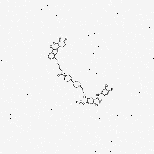 COc1cc2ncnc(Nc3ccc(F)c(Cl)c3)c2cc1OCCCN1CCC(N2CCN(C(=O)CCCCSc3cccc4c3CN(C3CCC(=O)NC3=O)C4=O)CC2)CC1